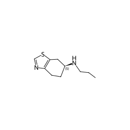 CCCN[C@H]1CCc2ncsc2C1